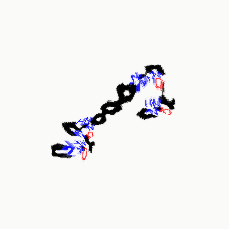 CC(C)[C@H](NC(=O)N1CCCC1)C(=O)N1CCC[C@H]1c1nc2ccc(-c3ccc(-c4ccc5nc([C@@H]6CCCN6OC[C@@H](NC(=O)N6CCCC6)C(C)C)[nH]c5c4)cc3)cc2[nH]1